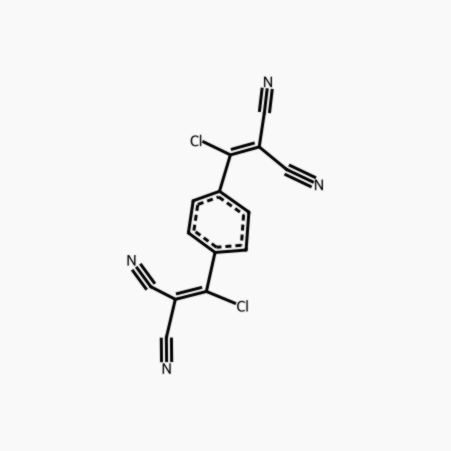 N#CC(C#N)=C(Cl)c1ccc(C(Cl)=C(C#N)C#N)cc1